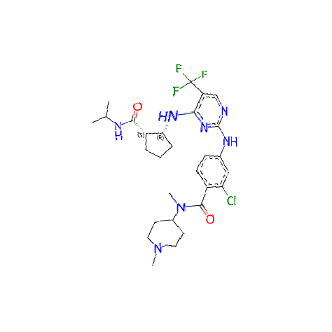 CC(C)NC(=O)[C@H]1CCC[C@H]1Nc1nc(Nc2ccc(C(=O)N(C)C3CCN(C)CC3)c(Cl)c2)ncc1C(F)(F)F